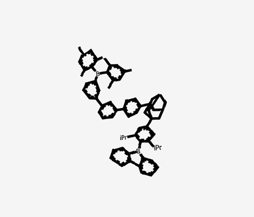 Cc1cc(C)c(B(c2cccc(-c3cccc(-c4ccc(C56CC7CC(C5)CC(c5cc(C(C)C)c(B8c9ccccc9-c9ccccc98)c(C(C)C)c5)(C7)C6)cc4)c3)c2)c2c(C)cc(C)cc2C)c(C)c1